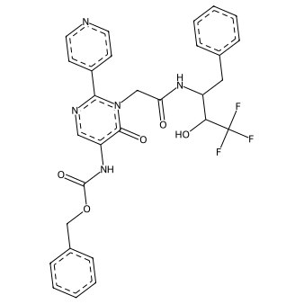 O=C(Cn1c(-c2ccncc2)ncc(NC(=O)OCc2ccccc2)c1=O)NC(Cc1ccccc1)C(O)C(F)(F)F